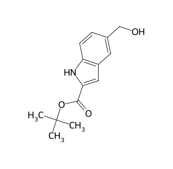 CC(C)(C)OC(=O)c1cc2cc(CO)ccc2[nH]1